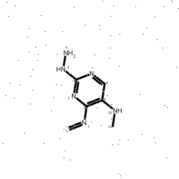 C=Nc1nc(NN)ncc1NC